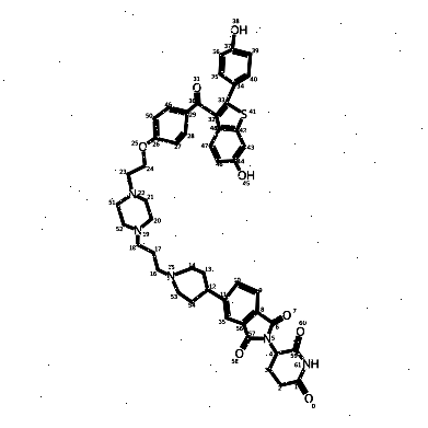 O=C1CCC(N2C(=O)c3ccc(C4CCN(CCCN5CCN(CCOc6ccc(C(=O)c7c(-c8ccc(O)cc8)sc8cc(O)ccc78)cc6)CC5)CC4)cc3C2=O)C(=O)N1